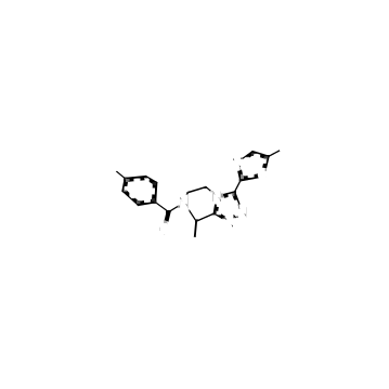 Cc1cnc(-c2nnc3n2CCN(C(=O)c2ccc(F)cc2)C3C)s1